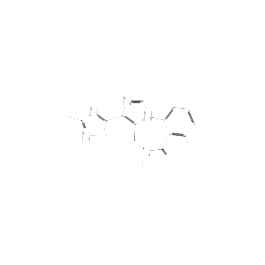 Cc1noc(-c2ncn3c2CNC(=O)c2c(Cl)cccc2-3)n1